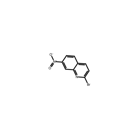 O=[N+]([O-])c1ccc2ccc(Br)nc2c1